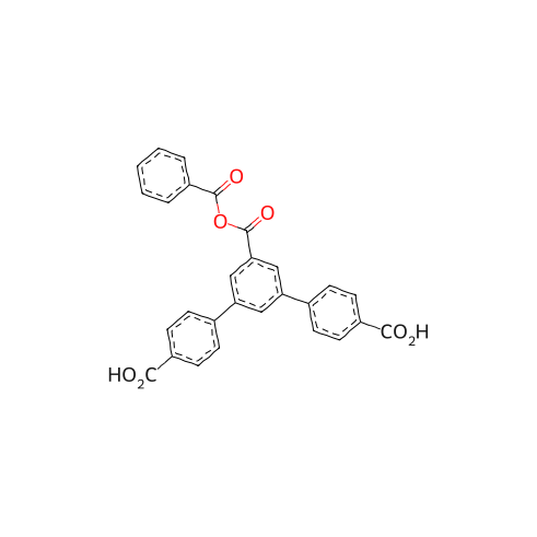 O=C(O)c1ccc(-c2cc(C(=O)OC(=O)c3ccccc3)cc(-c3ccc(C(=O)O)cc3)c2)cc1